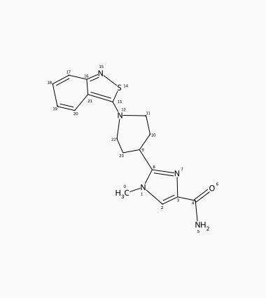 Cn1cc(C(N)=O)nc1C1CCN(c2snc3ccccc23)CC1